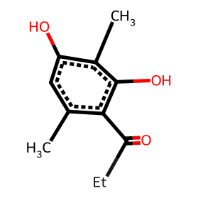 CCC(=O)c1c(C)cc(O)c(C)c1O